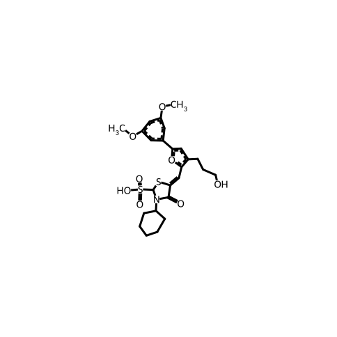 COc1cc(OC)cc(-c2cc(CCCO)c(/C=C3\SC(S(=O)(=O)O)N(C4CCCCC4)C3=O)o2)c1